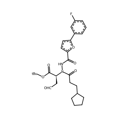 CC(C)(C)OC(=O)[C@H](CC=O)N(NC(=O)c1ccc(-c2cccc(F)c2)o1)C(=O)CCC1CCCC1